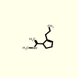 C=C(NC)C1CCC=C1CCC